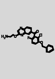 NCCOc1cnc2ccc(C(=O)c3c(F)ccc(OCc4ccccc4)c3Cl)cc2n1